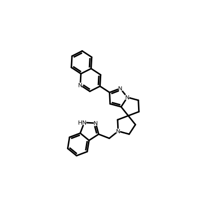 c1ccc2ncc(-c3cc4n(n3)CCC43CCN(Cc4n[nH]c5ccccc45)C3)cc2c1